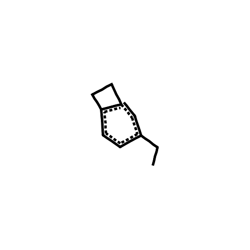 CCc1ccc2c(c1)CC2